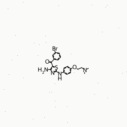 CN(C)CCOc1ccc(Nc2nc(N)c(C(=O)c3cccc(Br)c3)s2)cc1